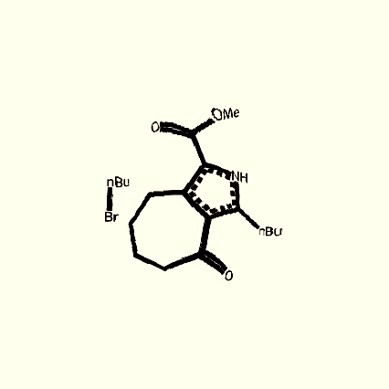 CCCCBr.CCCCc1[nH]c(C(=O)OC)c2c1C(=O)CCCC2